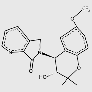 CC1(C)Oc2ccc(OC(F)(F)F)cc2[C@H](N2Cc3cccnc3C2=O)[C@H]1O